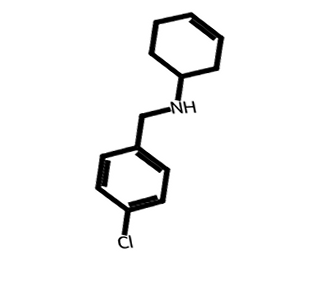 Clc1ccc(CNC2CC=CCC2)cc1